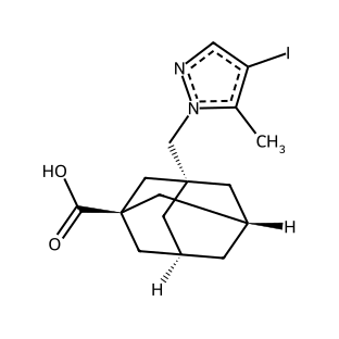 Cc1c(I)cnn1C[C@@]12C[C@H]3C[C@@H](C1)C[C@](C(=O)O)(C3)C2